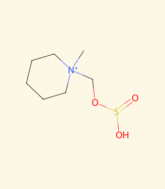 C[N+]1(COS(=O)O)CCCCC1